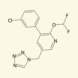 FC(F)Oc1ncc(Cn2cnnn2)cc1-c1cccc(Cl)c1